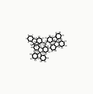 CC1(C)c2ccccc2-c2ccc(N(c3ccc4c(c3)C3(c5ccccc5-c5ccccc53)c3ccccc3-4)c3cccc4c3-c3ccccc3C4(c3ccccc3)c3ccccc3)cc21